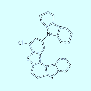 Clc1cc(-n2c3ccccc3c3ccccc32)cc2c1sc1ccc3sc4ccccc4c3c12